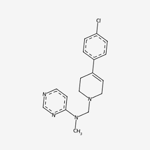 CN(CN1CC=C(c2ccc(Cl)cc2)CC1)c1ccncn1